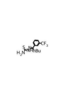 CCCC/C(=N\NC(N)=S)c1cccc(C(F)(F)F)c1